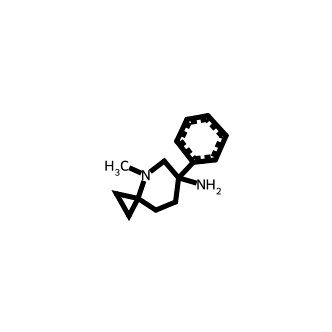 CN1CC(N)(c2ccccc2)CCC12CC2